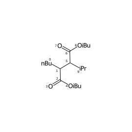 CCCCC(C(=O)OCC(C)C)C(C(=O)OCC(C)C)C(C)C